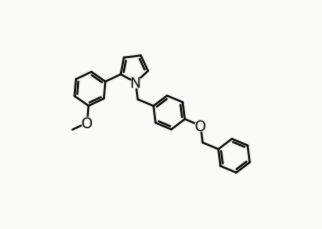 COc1cccc(-c2cccn2Cc2ccc(OCc3ccccc3)cc2)c1